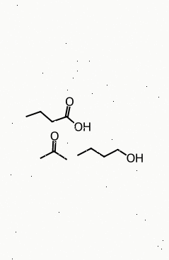 CC(C)=O.CCCC(=O)O.CCCCO